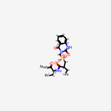 CNC(=O)[C@H](CC(C)C)NC(=O)C(CC(C)C)CP(=O)(O)Cn1c(=O)[nH]c2ccccc2c1=O